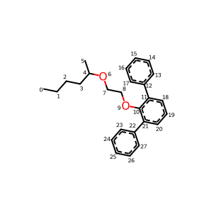 CCCCC(C)OCCOc1c(-c2ccccc2)cccc1-c1ccccc1